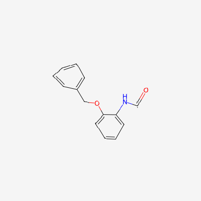 O=[C]Nc1ccccc1OCc1ccccc1